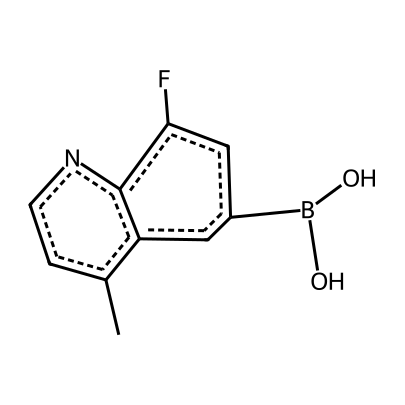 Cc1ccnc2c(F)cc(B(O)O)cc12